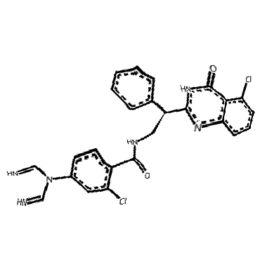 N=CN(C=N)c1ccc(C(=O)NC[C@@H](c2ccccc2)c2nc3cccc(Cl)c3c(=O)[nH]2)c(Cl)c1